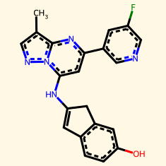 Cc1cnn2c(NC3=Cc4ccc(O)cc4C3)cc(-c3cncc(F)c3)nc12